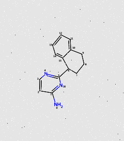 Nc1ccnc(C2CCCc3ccccc32)n1